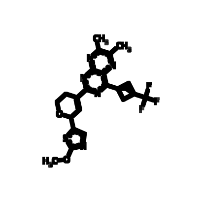 COc1ncc(C2C=C(c3nc(C45CC(C(F)(F)F)(C4)C5)c4nc(C)c(C)nc4n3)CCO2)s1